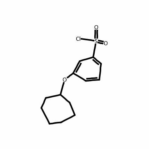 O=S(=O)(Cl)c1cccc(OC2CCCCCC2)c1